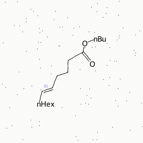 CCCCCC/C=C/CCCC(=O)OCCCC